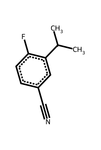 C[C](C)c1cc(C#N)ccc1F